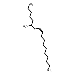 CCCCCC(C)C/C=C\CCCCCCCCN